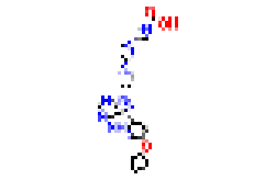 Nc1ncnc2c1c(-c1ccc(Oc3ccccc3)cc1)nn2C1CCN(C2CCN(C3CN(C(=O)O)C3)C2)CC1